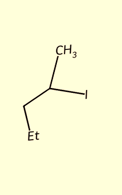 [CH2]CCC(C)I